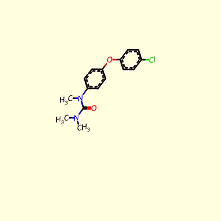 CN(C)C(=O)N(C)c1ccc(Oc2ccc(Cl)cc2)cc1